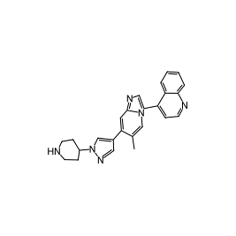 Cc1cn2c(-c3ccnc4ccccc34)cnc2cc1-c1cnn(C2CCNCC2)c1